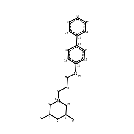 CC1CC(C)CN(CCCOc2ccc(-c3ccccc3)cc2)C1